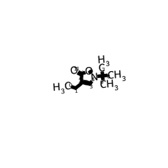 CCc1cn(C(C)(C)C)oc1=O